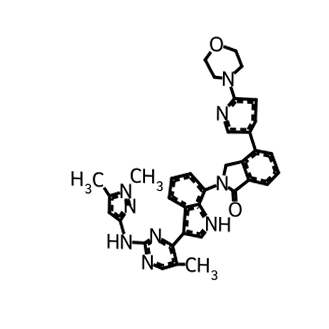 Cc1cnc(Nc2cc(C)n(C)n2)nc1-c1c[nH]c2c(N3Cc4c(cccc4-c4ccc(N5CCOCC5)nc4)C3=O)cccc12